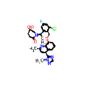 Cc1cc(-c2ncnn2C)c2cccc(OCc3c(Cl)cc(F)cc3C(C)N3C[C@@H](O)CCC3=O)c2n1